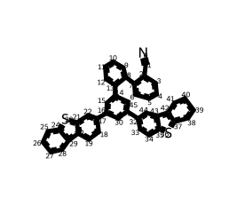 N#Cc1ccccc1-c1ccccc1-c1cc(-c2ccc3c(c2)sc2ccccc23)cc(-c2ccc3sc4ccccc4c3c2)c1